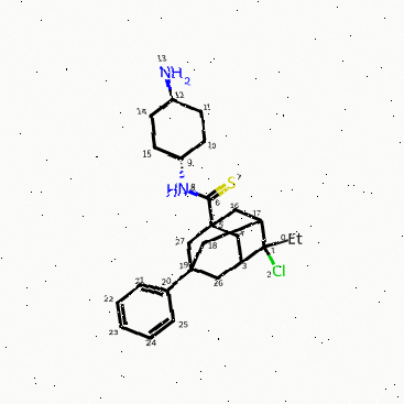 CCC1(Cl)C2CC3(C(=S)N[C@H]4CC[C@H](N)CC4)CC1CC(c1ccccc1)(C2)C3